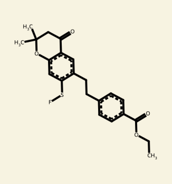 CCOC(=O)c1ccc(CCc2cc3c(cc2SF)OC(C)(C)CC3=O)cc1